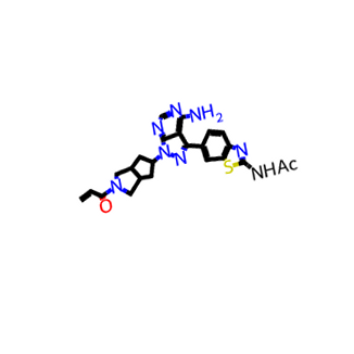 C=CC(=O)N1CC2CC(n3nc(-c4ccc5nc(NC(C)=O)sc5c4)c4c(N)ncnc43)CC2C1